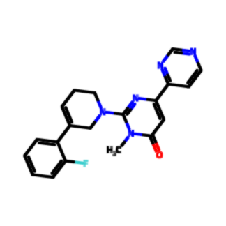 Cn1c(N2CCC=C(c3ccccc3F)C2)nc(-c2ccncn2)cc1=O